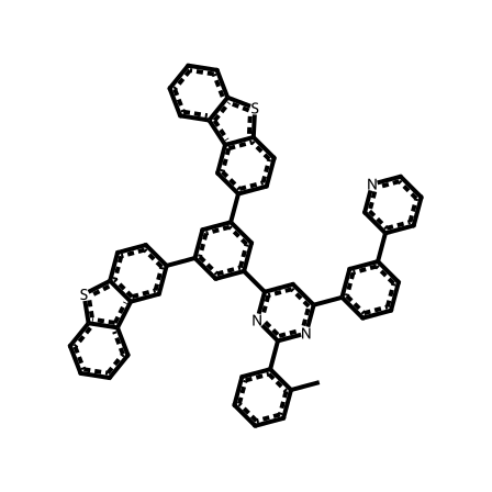 Cc1ccccc1-c1nc(-c2cccc(-c3cccnc3)c2)cc(-c2cc(-c3ccc4sc5ccccc5c4c3)cc(-c3ccc4sc5ccccc5c4c3)c2)n1